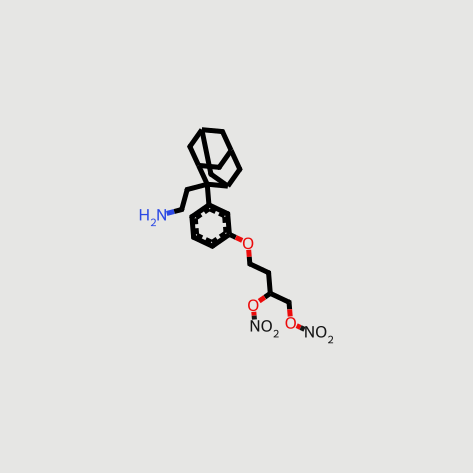 NCCC1(c2cccc(OCCC(CO[N+](=O)[O-])O[N+](=O)[O-])c2)C2CC3CC(C2)CC1C3